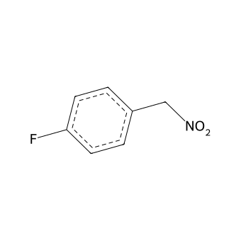 O=[N+]([O-])Cc1ccc(F)cc1